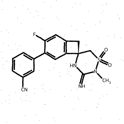 CN1C(=N)N[C@@]2(Cc3cc(F)c(-c4cccc(C#N)c4)cc32)CS1(=O)=O